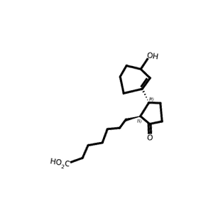 O=C(O)CCCCCC[C@@H]1C(=O)CC[C@H]1C1=CC(O)CCC1